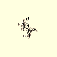 CCC1CC(N(Cc2cc(C(F)(F)F)cc(C(F)(F)F)c2)c2nnn(C)n2)c2cc(OC(F)(F)F)ccc2N1C(=O)C(F)(F)C(F)(F)C(F)(F)C(=O)O